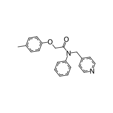 Cc1ccc(OCC(=O)N(Cc2ccncc2)c2ccccc2)cc1